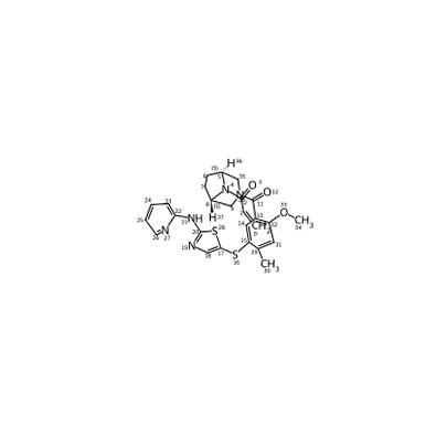 C=CC(=O)N1[C@H]2CC[C@H]1CN(C(=O)c1cc(Sc3cnc(Nc4ccccn4)s3)c(C)cc1OC)C2